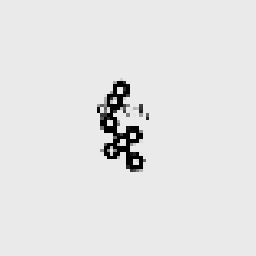 Cc1c2ccccc2cc2oc3ccc(-c4c5ccccc5c(-c5ccccc5)c5ccccc45)cc3c12